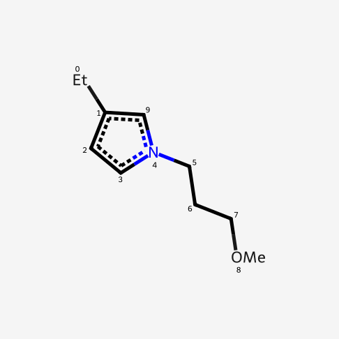 CCc1ccn(CCCOC)c1